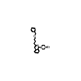 CCN1CCN(c2nc(CCCCOCc3ccccc3)cc3ccccc23)CC1